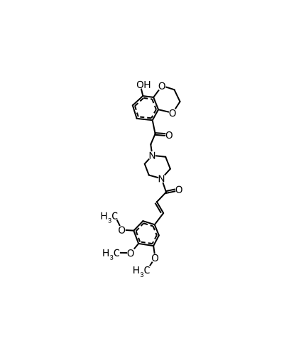 COc1cc(C=CC(=O)N2CCN(CC(=O)c3ccc(O)c4c3OCCO4)CC2)cc(OC)c1OC